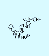 Cc1cnc(Cn2cc(-c3cnc4c(Nc5ccc(C(=O)N6CCNCC6)c(Cl)c5)nccn34)c(C(F)(F)F)n2)nc1.O=CO